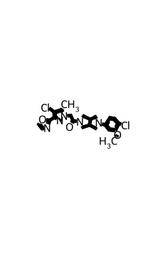 COc1cc(N2CC3CN(C(=O)Cn4nc(-c5ncco5)c(Cl)c4C)CC3C2)ccc1Cl